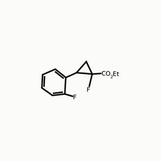 CCOC(=O)C1(F)CC1c1ccccc1F